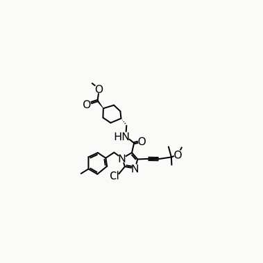 COC(=O)[C@H]1CC[C@H](CNC(=O)c2c(C#CC(C)(C)OC)nc(Cl)n2Cc2ccc(C)cc2)CC1